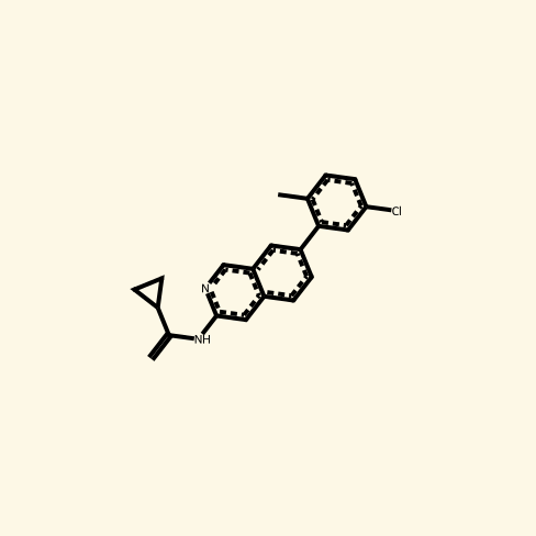 C=C(Nc1cc2ccc(-c3cc(Cl)ccc3C)cc2cn1)C1CC1